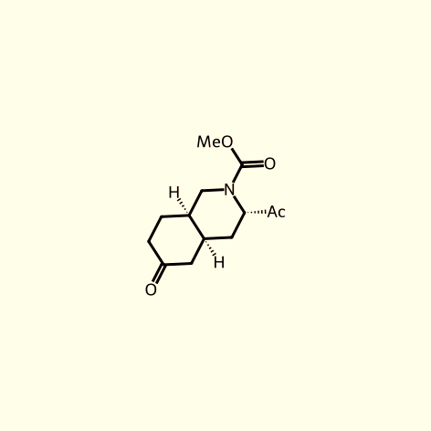 COC(=O)N1C[C@@H]2CCC(=O)C[C@@H]2C[C@H]1C(C)=O